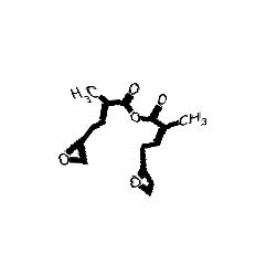 CC(=CCC1CO1)C(=O)OC(=O)C(C)=CCC1CO1